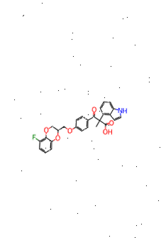 CC(C(=O)O)(C(=O)c1ccc(OC[C@@H]2COc3c(F)cccc3O2)cc1)c1cccc2[nH]ccc12